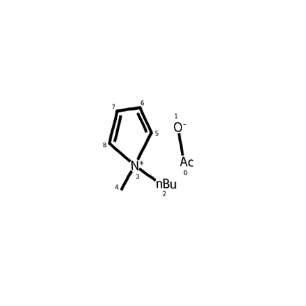 CC(=O)[O-].CCCC[N+]1(C)C=CC=C1